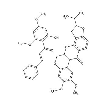 COc1cc(O)c(C(=O)C=Cc2ccccc2)c(OC)c1.COc1cc2c(cc1OC)C1C(=O)c3ccc4c(c3OC1CO2)CC(C(C)C)O4